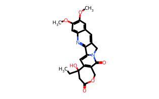 CCC1(O)CC(=O)OCc2c1cc1n(c2=O)Cc2cc3cc(OC)c(OC)cc3nc2-1